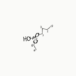 CCCCOP(O)OCC